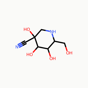 N#CC1(O)CNC(CO)C(O)C1O